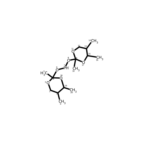 CC1COC(C)(OPOC2(C)OCC(C)C(C)O2)OC1C